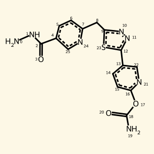 NNC(=O)c1ccc(Cc2nnc(-c3ccc(OC(N)=O)nc3)s2)nc1